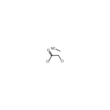 CC#N.O=C(Cl)CCl